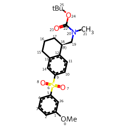 COc1cccc(S(=O)(=O)c2ccc3c(c2)CCC[C@H]3CN(C)C(=O)OC(C)(C)C)c1